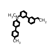 C=Cc1cccc(-c2cccc(N(C)c3ccc(-c4ccc(C)cc4)cc3)c2)c1